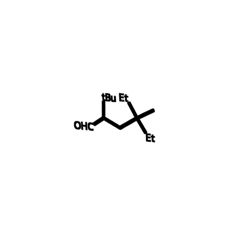 CCC(C)(CC)CC(C=O)C(C)(C)C